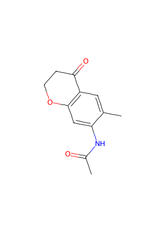 CC(=O)Nc1cc2c(cc1C)C(=O)CCO2